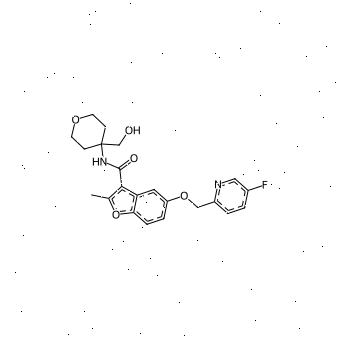 Cc1oc2ccc(OCc3ccc(F)cn3)cc2c1C(=O)NC1(CO)CCOCC1